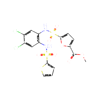 COC(=O)c1ccc(S(=O)(=O)Nc2cc(Cl)c(Cl)cc2NS(=O)(=O)c2cccs2)o1